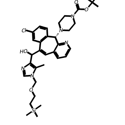 Cc1c(C(O)C2=Cc3cccnc3[C@@H](N3CCN(C(=O)OC(C)(C)C)CC3)c3ccc(Cl)cc32)ncn1COCC[Si](C)(C)C